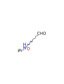 CC(C)CNC(=O)/C=C/C=C/CCCCC=O